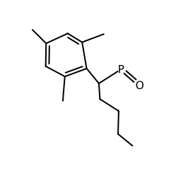 CCCCC(P=O)c1c(C)cc(C)cc1C